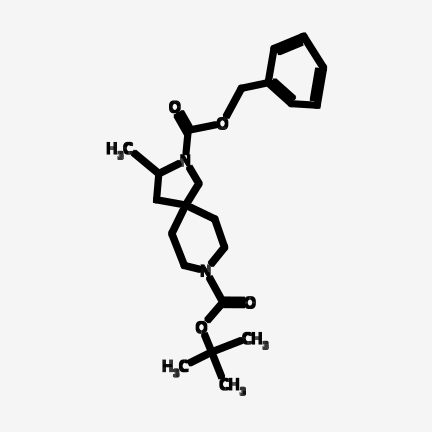 CC1CC2(CCN(C(=O)OC(C)(C)C)CC2)CN1C(=O)OCc1ccccc1